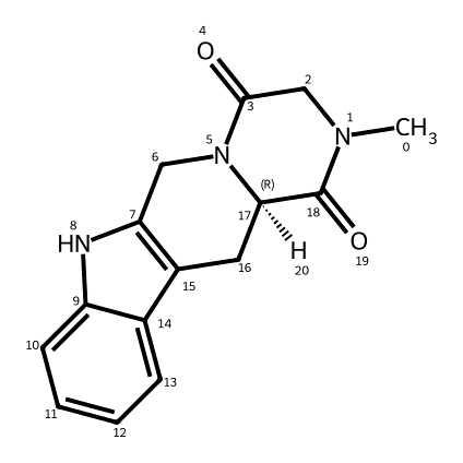 CN1CC(=O)N2Cc3[nH]c4ccccc4c3C[C@@H]2C1=O